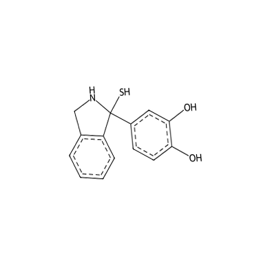 Oc1ccc(C2(S)NCc3ccccc32)cc1O